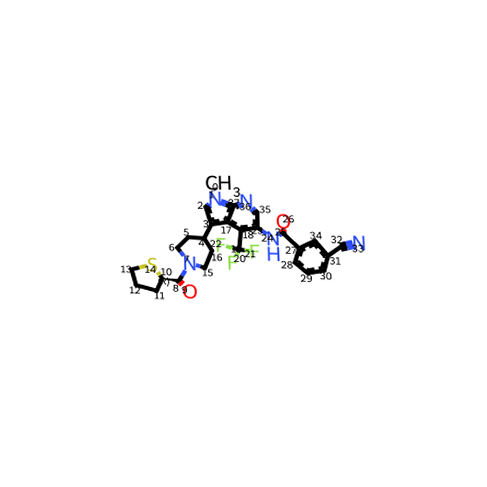 Cn1cc(C2CCN(C(=O)[C@H]3CCCS3)CC2)c2c(C(F)(F)F)c(NC(=O)c3cccc(C#N)c3)cnc21